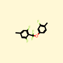 Cc1cc(F)c(C(F)(F)Oc2ccc(C)c(F)c2)c(F)c1